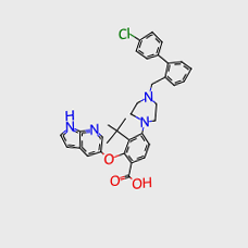 CC(C)(C)c1c(N2CCN(Cc3ccccc3-c3ccc(Cl)cc3)CC2)ccc(C(=O)O)c1Oc1cnc2[nH]ccc2c1